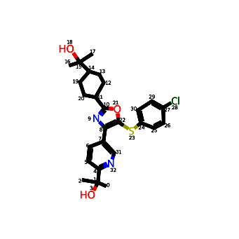 CC(C)(O)c1ccc(-c2nc(C3CCC(C(C)(C)O)CC3)oc2Sc2ccc(Cl)cc2)cn1